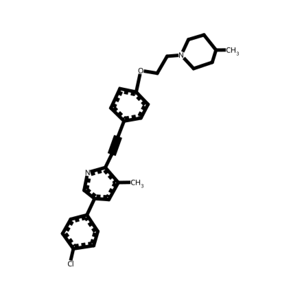 Cc1cc(-c2ccc(Cl)cc2)cnc1C#Cc1ccc(OCCN2CCC(C)CC2)cc1